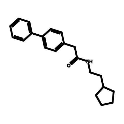 O=C(Cc1ccc(-c2ccccc2)cc1)NCCC1CCCC1